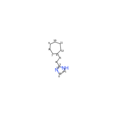 [c]1c[nH]c(CCC2CCCCCC2)n1